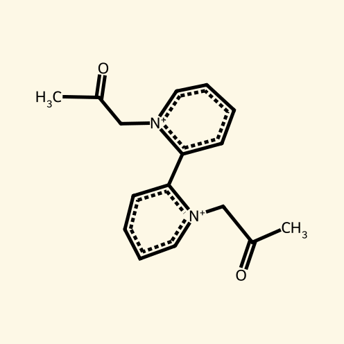 CC(=O)C[n+]1ccccc1-c1cccc[n+]1CC(C)=O